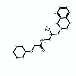 O=C(COC1CCCCC1)NCC(O)CN1CCc2ccccc2C1